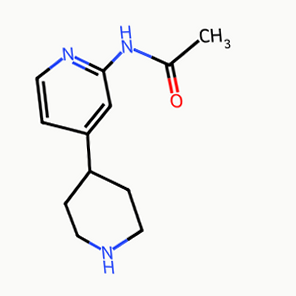 CC(=O)Nc1cc(C2CCNCC2)ccn1